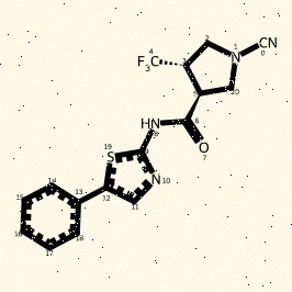 N#CN1C[C@@H](C(F)(F)F)[C@H](C(=O)Nc2ncc(-c3ccccc3)s2)C1